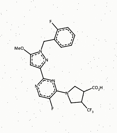 COc1cc(-c2ncc(F)c(N3CC(C(=O)O)C(C(F)(F)F)C3)n2)nn1Cc1ccccc1F